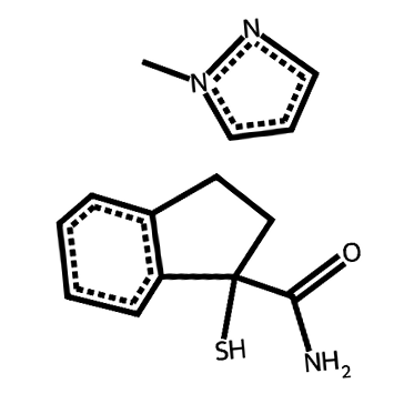 Cn1cccn1.NC(=O)C1(S)CCc2ccccc21